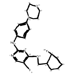 Fc1cnc(Nc2ccc(N3CCOCC3)cc2)nc1OCC1CCCCC1F